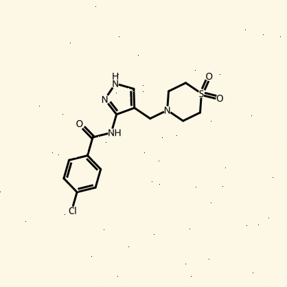 O=C(Nc1n[nH]cc1CN1CCS(=O)(=O)CC1)c1ccc(Cl)cc1